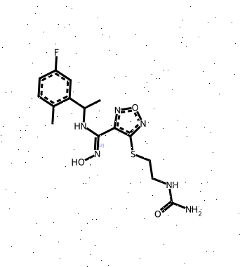 Cc1ccc(F)cc1C(C)N/C(=N\O)c1nonc1SCCNC(N)=O